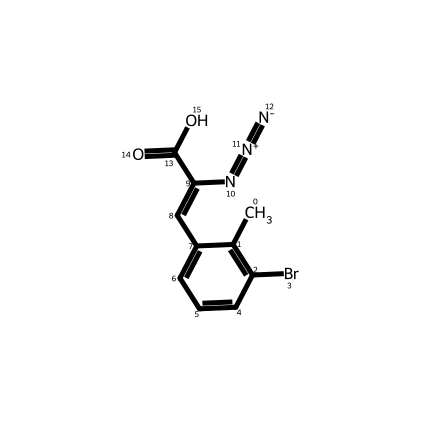 Cc1c(Br)cccc1/C=C(\N=[N+]=[N-])C(=O)O